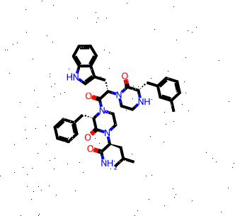 Cc1cccc(C[C@@H]2NCCN([C@@H](Cc3c[nH]c4ccccc34)C(=O)N3CCN([C@@H](CC(C)C)C(N)=O)C(=O)[C@@H]3Cc3ccccc3)C2=O)c1